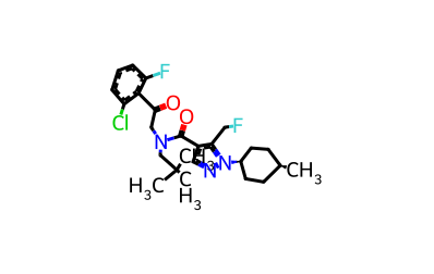 CC(C)(C)CN(CC(=O)c1c(F)cccc1Cl)C(=O)c1cnn([C@H]2CC[C@@H](C)CC2)c1CF